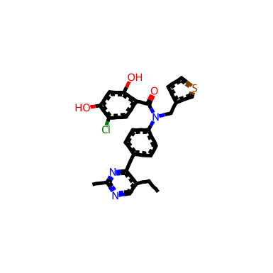 CCc1cnc(C)nc1-c1ccc(N(Cc2ccsc2)C(=O)c2cc(Cl)c(O)cc2O)cc1